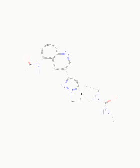 CCNC(=O)N1CCC2(CCn3nc(-c4cnc5cccc(NC(C)=O)c5c4)cc32)C1